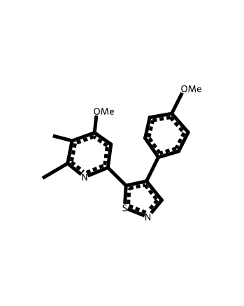 COc1ccc(-c2cnsc2-c2cc(OC)c(C)c(C)n2)cc1